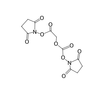 O=C(COC(=O)ON1C(=O)CCC1=O)ON1C(=O)CCC1=O